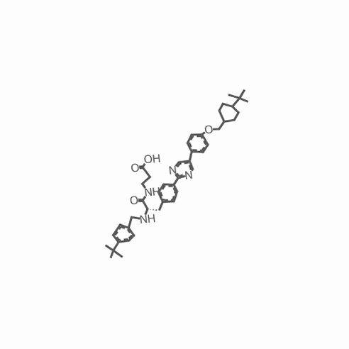 CC(C)(C)c1ccc(CN[C@@H](Cc2ccc(-c3ncc(-c4ccc(OCC5CCC(C(C)(C)C)CC5)cc4)cn3)cc2)C(=O)NCCC(=O)O)cc1